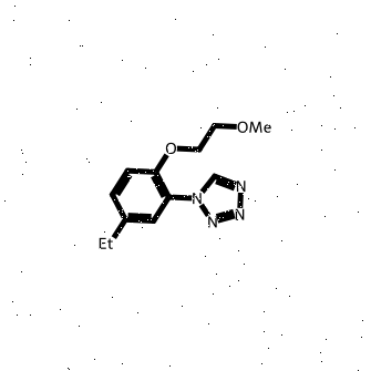 CCc1ccc(OCCOC)c(-n2cnnn2)c1